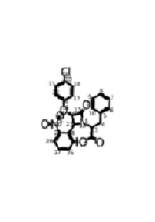 O=C(O)C(Cc1ccccc1)N1C(=O)C(Oc2ccc(Cl)cc2)C1c1ccccc1[N+](=O)[O-]